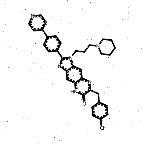 O=c1[nH]c2cc3nc(-c4ccc(-c5ccncc5)cc4)n(CCCN4CCCCC4)c3cc2nc1Cc1ccc(Cl)cc1